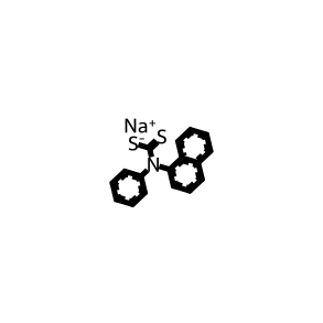 S=C([S-])N(c1ccccc1)c1cccc2ccccc12.[Na+]